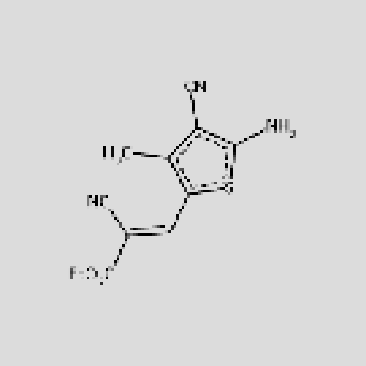 CCOC(=O)C(C#N)=Cc1sc(N)c(C#N)c1C